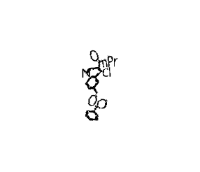 CCCC(=O)c1cnc2ccc(COC(=O)c3ccccc3)cc2c1Cl